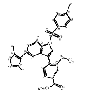 COC(=O)c1ccc(-c2cn(S(=O)(=O)c3ccc(C)cc3)c3ncc(-c4c(C)noc4C)cc23)c(OC(F)(F)F)c1